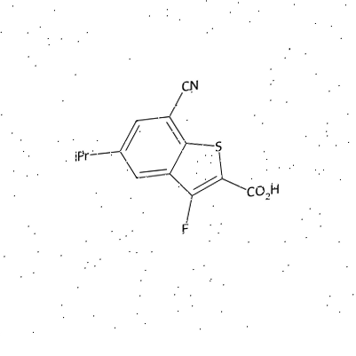 CC(C)c1cc(C#N)c2sc(C(=O)O)c(F)c2c1